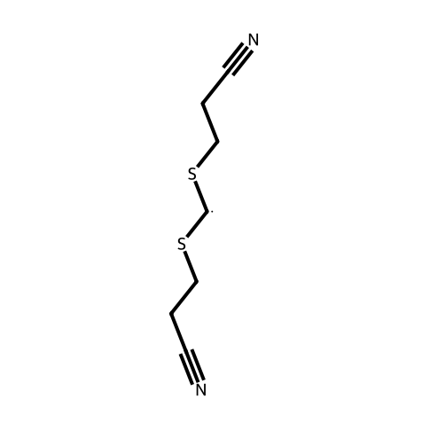 N#CCCS[CH]SCCC#N